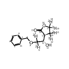 [2H]C([2H])(OCc1ccccc1)[C@@H](O)[C@H]1C(=O)OC([2H])([2H])C1([2H])[2H]